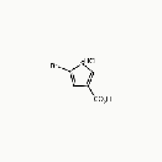 Cl.O=C(O)c1csc(Br)c1